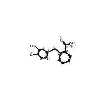 Nc1cc(Cc2ccccc2C(=O)O)ccc1Cl